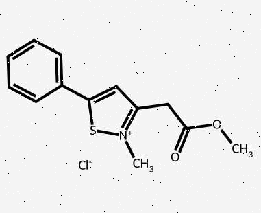 COC(=O)Cc1cc(-c2ccccc2)s[n+]1C.[Cl-]